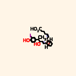 CC(c1ccc(O)c(I)c1)C(O)/C=C/[C@H]1[C@H](C/C=C\CCCC(=O)O)[C@@H]2CC[C@H]1O2